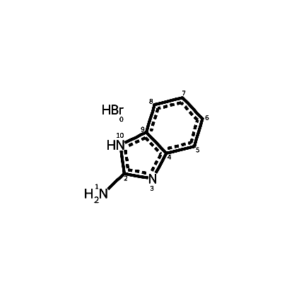 Br.Nc1nc2ccccc2[nH]1